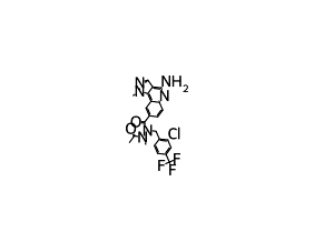 CC(=O)N(C)N(Cc1ccc(C(F)(F)F)cc1Cl)C(=O)c1ccc2nc(N)c3cnn(C)c3c2c1